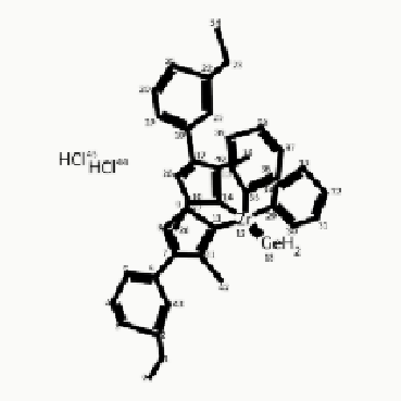 CCc1cccc(C2=CC(C)[C]([Zr](=[GeH2])([C]3=C(C)C(c4cccc(CC)c4)=CC3C)([c]3ccccc3)[c]3ccccc3)=C2C)c1.Cl.Cl